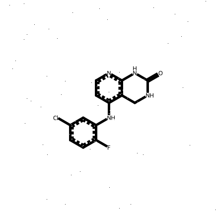 O=C1NCc2c(Nc3cc(Cl)ccc3F)ccnc2N1